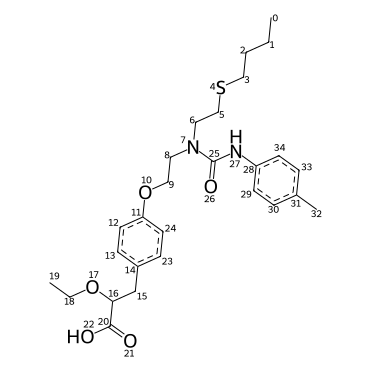 CCCCSCCN(CCOc1ccc(CC(OCC)C(=O)O)cc1)C(=O)Nc1ccc(C)cc1